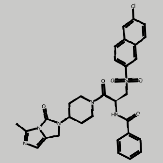 Cc1ncc2n1C(=O)N(C1CCN(C(=O)[C@@H](CS(=O)(=O)c3ccc4cc(Cl)ccc4c3)NC(=O)c3ccccc3)CC1)C2